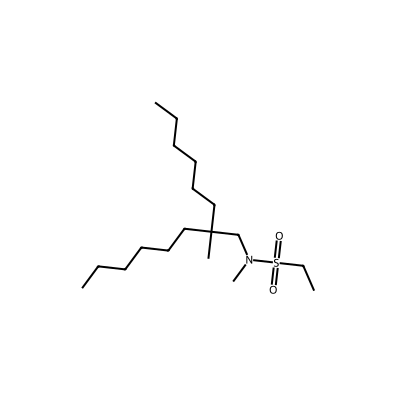 CCCCCCC(C)(CCCCCC)CN(C)S(=O)(=O)CC